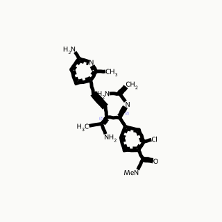 C=C(N)/N=C(\C(C#Cc1ccc(N)nc1C)=C(\C)N)c1ccc(C(=O)NC)c(Cl)c1